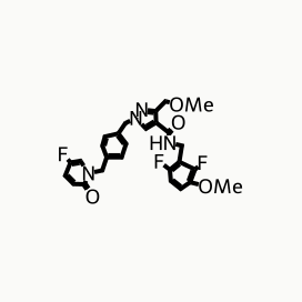 COCc1nn(Cc2ccc(Cn3cc(F)ccc3=O)cc2)cc1C(=O)NCc1c(F)ccc(OC)c1F